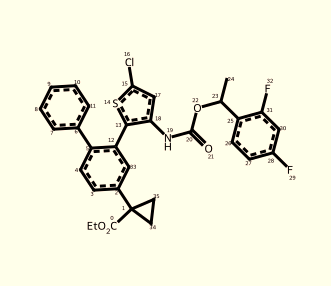 CCOC(=O)C1(c2ccc(-c3ccccc3)c(-c3sc(Cl)cc3NC(=O)OC(C)c3ccc(F)cc3F)c2)CC1